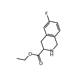 CCOC(=O)C1Cc2cc(F)ccc2CN1